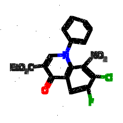 CCOC(=O)c1cn(-c2ccccc2)c2c([N+](=O)[O-])c(Cl)c(F)cc2c1=O